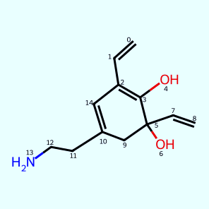 C=CC1=C(O)C(O)(C=C)CC(CCN)=C1